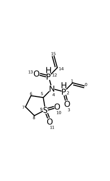 C=C[PH](=O)N(C1CCCS1(=O)=O)[PH](=O)C=C